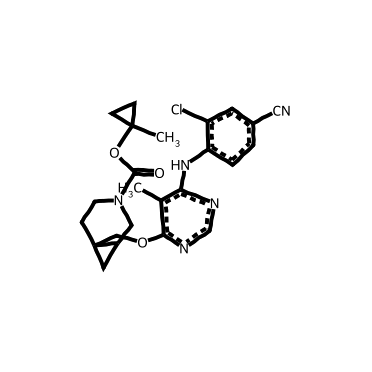 Cc1c(Nc2ccc(C#N)cc2Cl)ncnc1OCC12CCN(C(=O)OC3(C)CC3)CC1C2